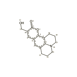 O=c1oc2c3c4c(cc2cc1CO)CCCN4CCC3